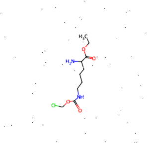 CCOC(=O)C(N)CCCCNC(=O)OCCl